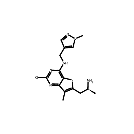 Cc1c(C[C@H](C)N)sc2c(NCc3cnn(C)c3)nc(Cl)nc12